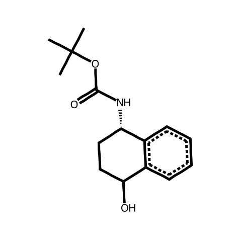 CC(C)(C)OC(=O)N[C@H]1CCC(O)c2ccccc21